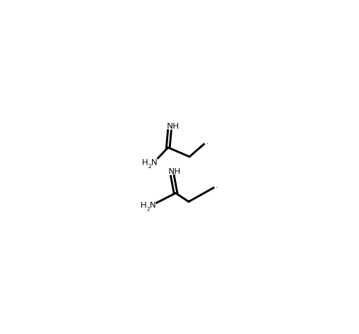 [CH2]CC(=N)N.[CH2]CC(=N)N